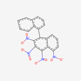 O=[N+]([O-])c1c([N+](=O)[O-])c([N+](=O)[O-])c2c([N+](=O)[O-])cccc2c1-c1cccc2ccccc12